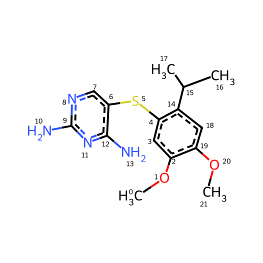 COc1cc(Sc2cnc(N)nc2N)c(C(C)C)cc1OC